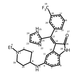 CCN1CCC(Nc2ccc3c(c2)C(=C(c2cccc(C(F)(F)F)c2)c2ncc[nH]2)C(=O)N3)CC1